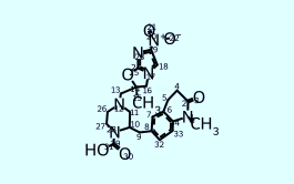 CN1C(=O)CCc2cc(CC3CN(C[C@@]4(C)Cn5cc([N+](=O)[O-])nc5O4)CCN3C(=O)O)ccc21